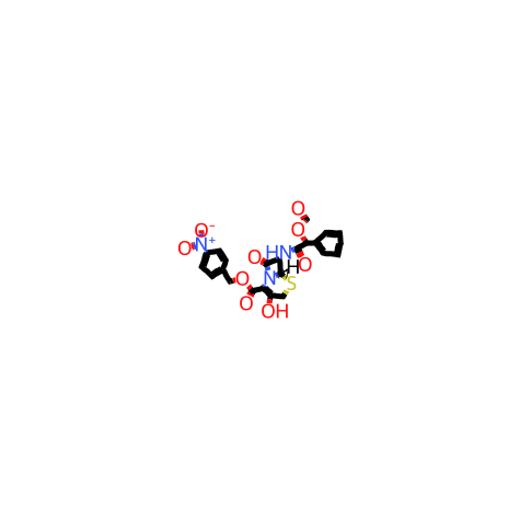 O=COC(C(=O)NC1C(=O)N2C(C(=O)OCc3ccc([N+](=O)[O-])cc3)=C(O)CS[C@H]12)c1ccccc1